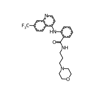 O=C(NCCCN1CCOCC1)c1ccccc1Nc1ccnc2cc(C(F)(F)F)ccc12